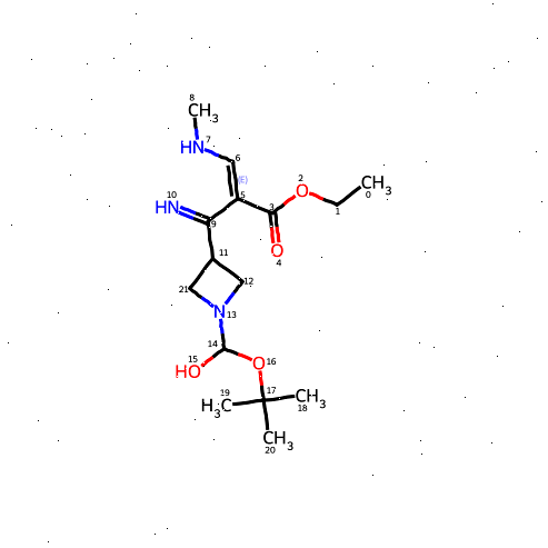 CCOC(=O)/C(=C/NC)C(=N)C1CN(C(O)OC(C)(C)C)C1